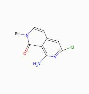 CCn1ccc2cc(Cl)nc(N)c2c1=O